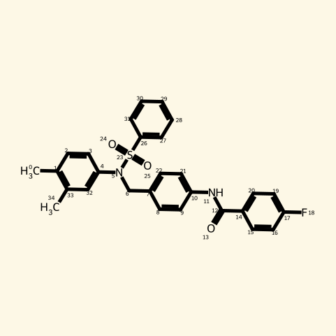 Cc1ccc(N(Cc2ccc(NC(=O)c3ccc(F)cc3)cc2)S(=O)(=O)c2ccccc2)cc1C